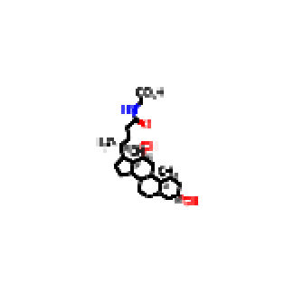 C[C@H](CCC(=O)NCC(=O)O)C1CCC2C3CCC4C[C@H](O)CC[C@]4(C)C3C[C@H](O)[C@@]21C